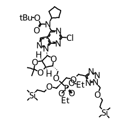 CCOP(=O)(OCC)[C@@](COCC[Si](C)(C)C)(COCc1nnn(COCC[Si](C)(C)C)n1)OC[C@H]1O[C@@H](n2ncc3c(N(C(=O)OC(C)(C)C)C4CCCC4)nc(Cl)nc32)[C@@H]2OC(C)(C)O[C@@H]21